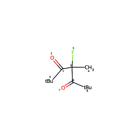 CC(C)(C)C(=O)C(C)(F)C(=O)C(C)(C)C